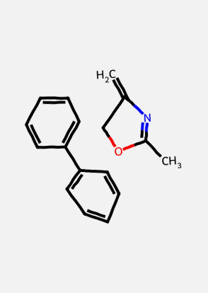 C=C1COC(C)=N1.c1ccc(-c2ccccc2)cc1